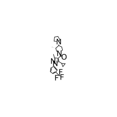 Cc1nn(-c2cccc(C(F)(F)F)c2)c(C2CC2)c1C(=O)N1CC[C@H](N2CCCC2)[C@@H](C)C1